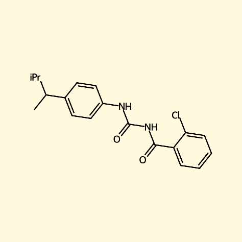 CC(C)C(C)c1ccc(NC(=O)NC(=O)c2ccccc2Cl)cc1